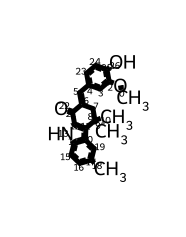 COc1cc(/C=C2\CC(C)(C)c3c([nH]c4ccc(C)cc34)C2=O)ccc1O